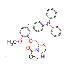 COc1ccccc1OCC1SCCN1C(C)=O.I.c1ccc(P(c2ccccc2)c2ccccc2)cc1